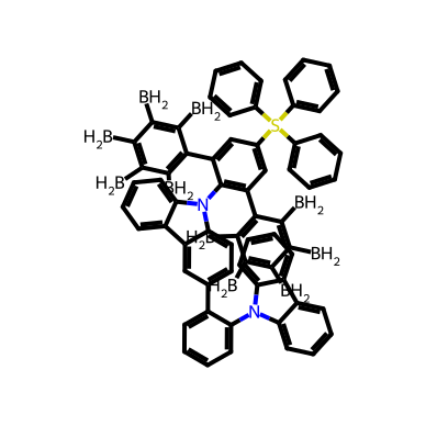 Bc1c(B)c(B)c(-c2cc(S(c3ccccc3)(c3ccccc3)c3ccccc3)cc(-c3c(B)c(B)c(B)c(B)c3B)c2-n2c3ccccc3c3cc(-c4ccccc4-n4c5ccccc5c5ccccc54)ccc32)c(B)c1B